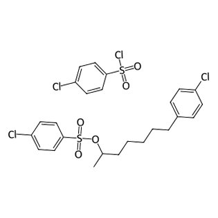 CC(CCCCCc1ccc(Cl)cc1)OS(=O)(=O)c1ccc(Cl)cc1.O=S(=O)(Cl)c1ccc(Cl)cc1